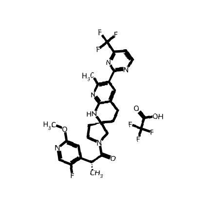 COc1cc([C@@H](C)C(=O)N2CC[C@@]3(CCc4cc(-c5nccc(C(F)(F)F)n5)c(C)nc4N3)C2)c(F)cn1.O=C(O)C(F)(F)F